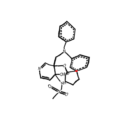 COC1(NS(C)(=O)=O)C=CN=CC1(CN(c1ccccc1)c1ccccc1)OC1CCCC1